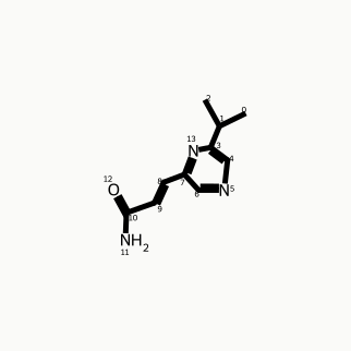 CC(C)c1cncc(/C=C/C(N)=O)n1